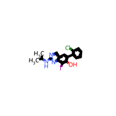 CC(C)Nc1ncc2cc(-c3ccccc3Cl)c(O)c(I)c2n1